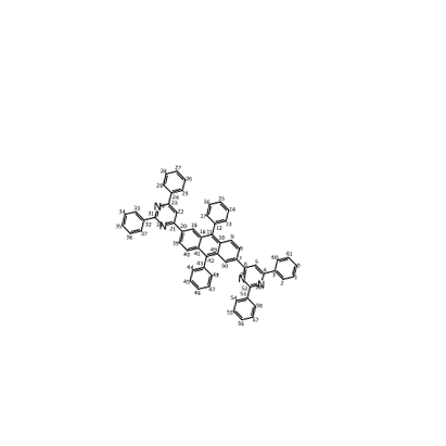 c1ccc(-c2cc(-c3ccc4c(-c5ccccc5)c5cc(-c6cc(-c7ccccc7)nc(-c7ccccc7)n6)ccc5c(-c5ccccc5)c4c3)nc(-c3ccccc3)n2)cc1